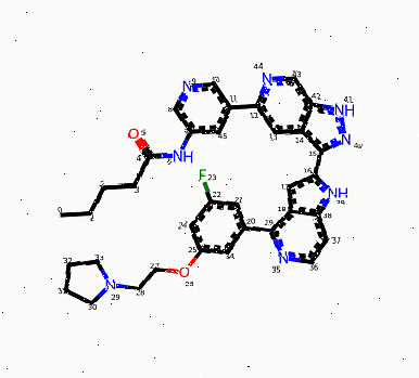 CCCCC(=O)Nc1cncc(-c2cc3c(-c4cc5c(-c6cc(F)cc(OCCN7CCCC7)c6)nccc5[nH]4)n[nH]c3cn2)c1